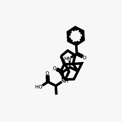 CC(NC(=O)[C@@H](NC(=O)c1ccccc1)C12CC3CC4CCC1(C2)C4C3)C(=O)O